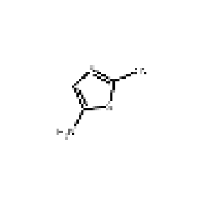 N#Cc1ncc(N)s1